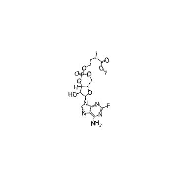 CC(CCOP1(=O)OCC2O[C@@H](n3cnc4c(N)nc(F)nc43)[C@@H](O)[C@@H]2O1)C(=O)OI